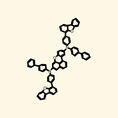 c1ccc(-c2ccc(N(c3ccc(-c4cccc5c4oc4ccccc45)cc3)c3ccc4c(c3)-c3cccc5cc(N(c6ccc(-c7ccccc7)cc6)c6ccc(-c7cccc8c7oc7ccccc78)cc6)cc(c35)O4)cc2)cc1